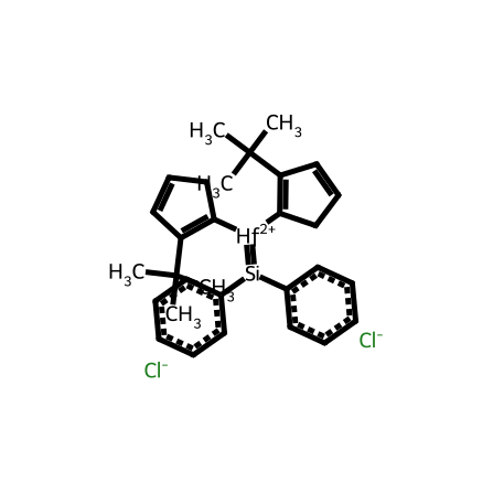 CC(C)(C)C1=[C]([Hf+2]([C]2=C(C(C)(C)C)C=CC2)=[Si](c2ccccc2)c2ccccc2)CC=C1.[Cl-].[Cl-]